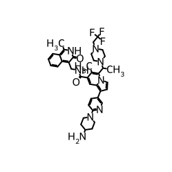 Cc1c(C(=O)NCc2c(=O)[nH]c(C)c3ccccc23)cc2c(-c3ccc(N4CCC(N)CC4)nc3)ccn2c1C(C)N1CCN(CC(F)(F)F)CC1